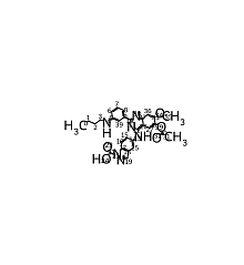 CCCCNc1cccc(-c2nc(Nc3ccc4c(cnn4C(=O)O)c3)c3cc(OC(C)=O)c(OC)cc3n2)c1